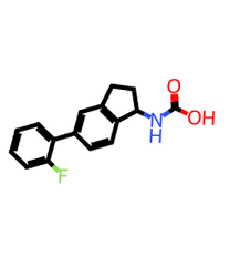 O=C(O)NC1CCc2cc(-c3ccccc3F)ccc21